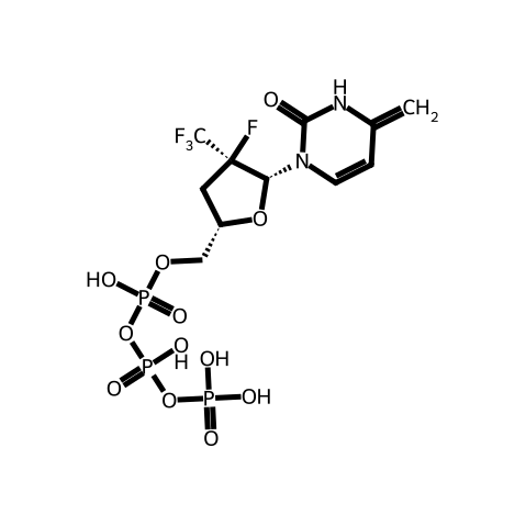 C=C1C=CN([C@@H]2O[C@H](COP(=O)(O)OP(=O)(O)OP(=O)(O)O)C[C@]2(F)C(F)(F)F)C(=O)N1